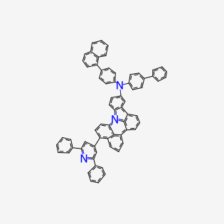 c1ccc(-c2ccc(N(c3ccc(-c4cccc5ccccc45)cc3)c3ccc4c(c3)c3cccc5c6cccc7c(-c8cc(-c9ccccc9)nc(-c9ccccc9)c8)ccc(c76)n4c53)cc2)cc1